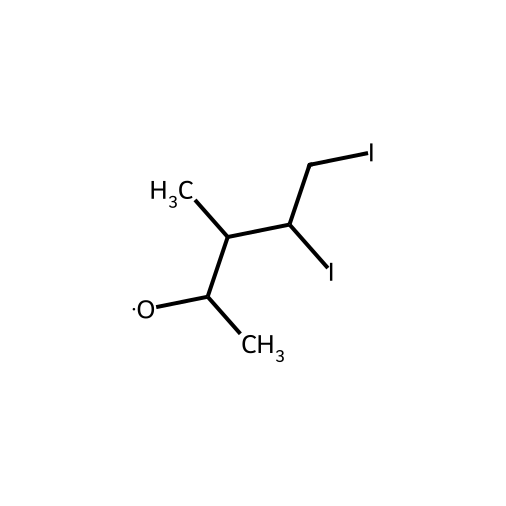 CC([O])C(C)C(I)CI